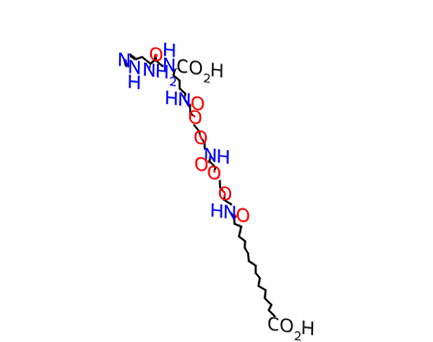 N[C@@H](Cc1cnc[nH]1)C(=O)CN[C@@H](CCCCNC(=O)COCCOCCNC(=O)COCCOCCNC(=O)CCCCCCCCCCCCCCCCC(=O)O)C(=O)O